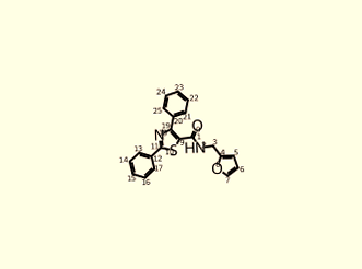 O=C(NCc1ccco1)c1sc(-c2ccccc2)nc1-c1ccccc1